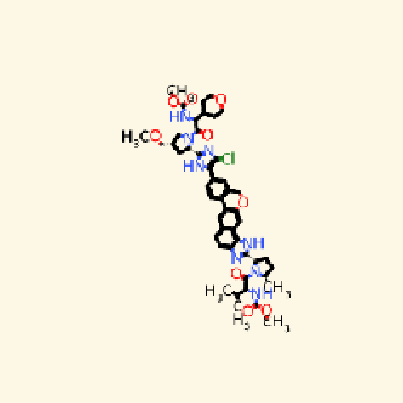 COC[C@H]1C[C@@H](c2nc(Cl)c(-c3ccc4c(c3)COc3cc5c(ccc6nc([C@@H]7CC[C@H](C)N7C(=O)[C@@H](NC(=O)OC)C(C)C)[nH]c65)cc3-4)[nH]2)N(C(=O)[C@@H](NC(=O)OC)C2CCOCC2)C1